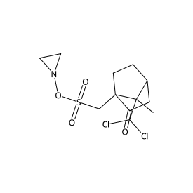 CC1(C(Cl)Cl)C2CCC1(CS(=O)(=O)ON1CC1)C(=O)C2